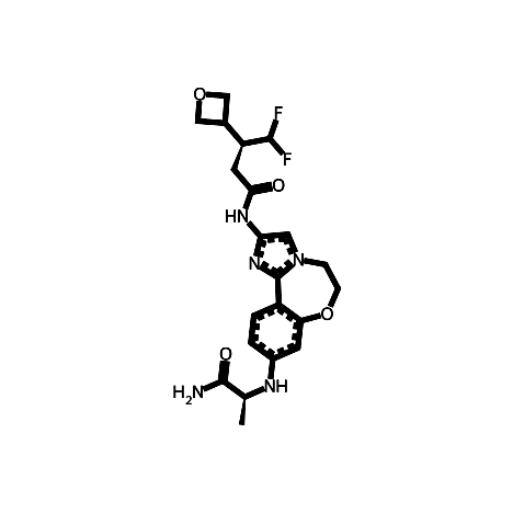 C[C@H](Nc1ccc2c(c1)OCCn1cc(NC(=O)C[C@H](C(F)F)C3COC3)nc1-2)C(N)=O